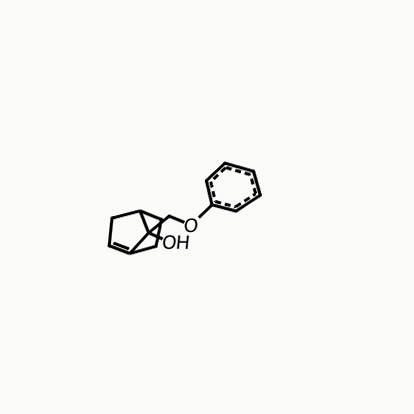 OC1(COc2ccccc2)C2=CCC1CC2